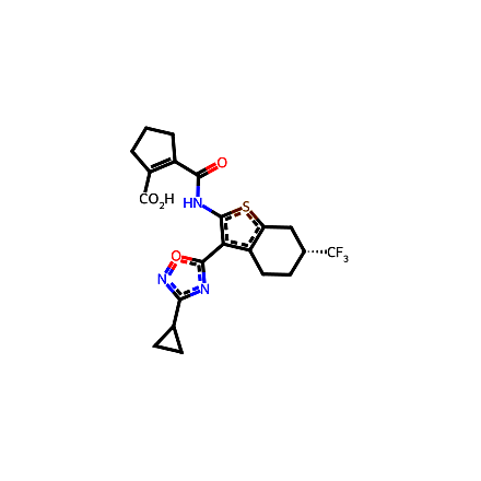 O=C(O)C1=C(C(=O)Nc2sc3c(c2-c2nc(C4CC4)no2)CC[C@@H](C(F)(F)F)C3)CCC1